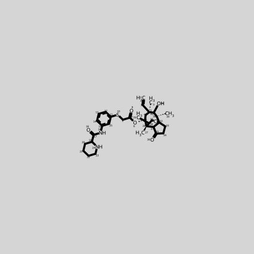 C=C[C@]1(C)C[C@@H](OC(=O)CSc2cccc(NC(=O)C3CCCCN3)c2)[C@]2(C)C(C)CCC3(CCC(=O)C32)[C@@H](C)C1O